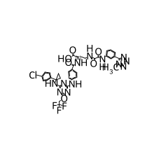 Cn1nnnc1-c1cccc(NC(=O)C(=O)NCC[C@H](NC(=O)c2ccc(Nc3nc(NC4(c5ccc(Cl)cc5)CC4)nc(OCC(F)(F)F)n3)cc2)C(=O)O)c1